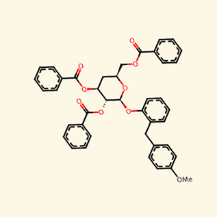 COc1ccc(Cc2ccccc2O[C@@H]2O[C@H](COC(=O)c3ccccc3)C[C@H](OC(=O)c3ccccc3)[C@H]2OC(=O)c2ccccc2)cc1